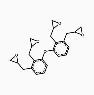 c1cc(CC2CO2)c(CC2CO2)c(Oc2cccc(CC3CO3)c2CC2CO2)c1